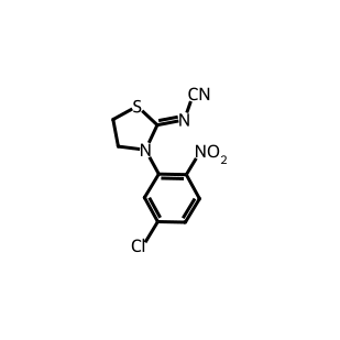 N#CN=C1SCCN1c1cc(Cl)ccc1[N+](=O)[O-]